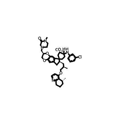 C[C@@H](COc1ccnc2c1[C@H](C)CCC2)C[C@H]1Cc2cc3c(cc2C12CCC(Nc1cccc(Cl)c1)(C(=O)O)CC2)O[C@H](CN1CCN(C)C(=O)C1)CO3